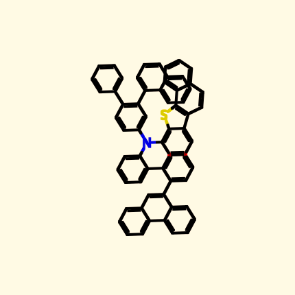 c1ccc(-c2ccc(N(c3ccccc3-c3ccccc3-c3cc4ccccc4c4ccccc34)c3cccc4c3sc3c5ccccc5ccc43)cc2-c2cccc3ccccc23)cc1